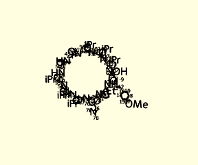 CCC1NC(=O)[C@H]([C@H](O)[C@H](C)C/C=C/c2ccc(OC)cc2)N(C)C(=O)[C@H](C(C)C)N(C)C(=O)[C@H](CC(C)C)N(C)C(=O)[C@H](CC(C)C)N(C)C(=O)[C@@H](C)NC(=O)[C@H](C)NC(=O)[C@H](CC(C)C)N(C)C(=O)[C@H](C(C)C)NC(=O)[C@H](CC(C)C)N(C)C(=O)C(OCCN(C)C)N(C)C1=O